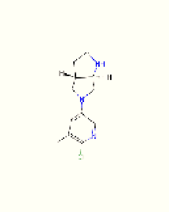 Cc1cc(N2C[C@@H]3CCN[C@H]3C2)cnc1Cl